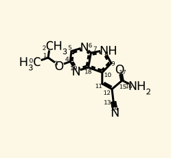 CC(C)Oc1cnc2[nH]cc(C=C(C#N)C(N)=O)c2n1